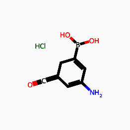 Cl.NC1=CC(=C=O)CC(B(O)O)=C1